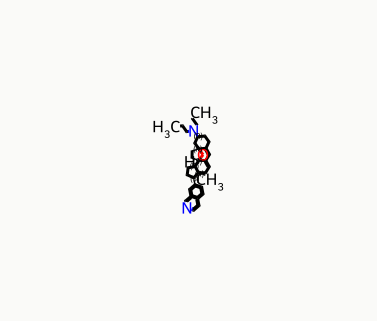 CCCN(CCC)[C@@H]1CCC2=CC3=CC[C@]4(C)[C@@H](c5ccc6ccncc6c5)CC[C@H]4[C@@]34CC[C@]2(C1)O4